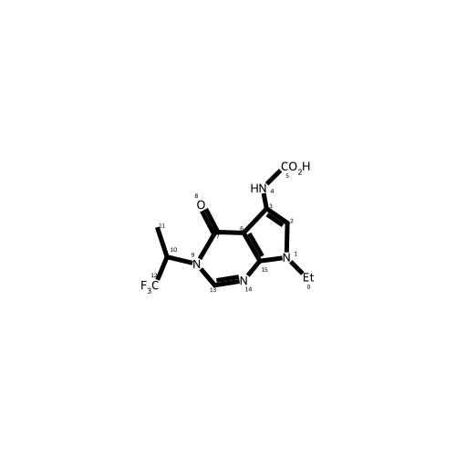 CCn1cc(NC(=O)O)c2c(=O)n(C(C)C(F)(F)F)cnc21